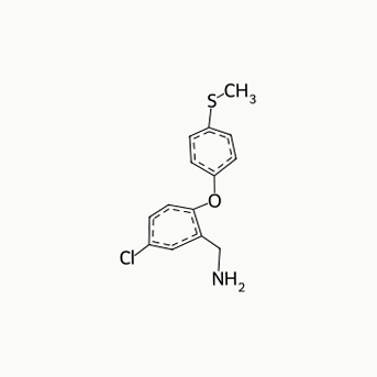 CSc1ccc(Oc2ccc(Cl)cc2CN)cc1